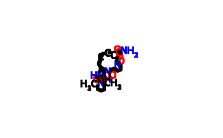 CC1CCCC(C)N1S(=O)(=O)NC(=O)C12CC1/C=C/CCCCCC(OC(N)=O)C(=O)N1CCCC1C(=O)N2